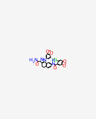 NC(=O)c1nn(-c2ccc3c(c2)OCO3)c2c1CCc1ccc(NC(=O)c3cc4c(cc3Cl)OCO4)cc1-2